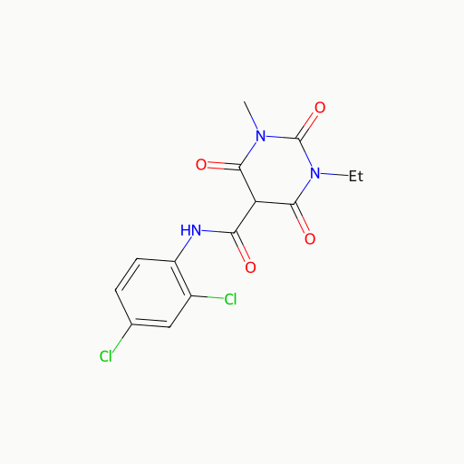 CCN1C(=O)C(C(=O)Nc2ccc(Cl)cc2Cl)C(=O)N(C)C1=O